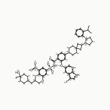 CC(C)c1ccccc1[C@H]1CCCN1C1CC2(CCN(c3ccc(C(=O)NS(=O)(=O)c4cc5c(c([N+](=O)[O-])c4)SC(CC4CCC(C)(O)CC4)CO5)c(Oc4cnc5[nH]cc(F)c5c4)c3)CC2)C1